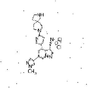 ClOCl.Cn1cc(-c2cc(-c3ccc(N4CCC5(CCNC5)CC4)nc3)c3c(C#N)cnn3c2)cn1